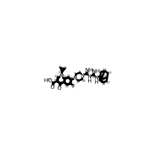 N=C(NC(=N)N1CCN(c2cc3c(cc2F)c(=O)c(C(=O)O)cn3C2CC2)CC1)NC12CC3CC(CC(C3)C1)C2